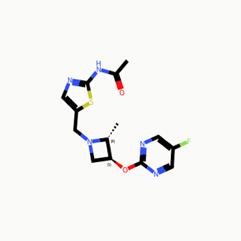 CC(=O)Nc1ncc(CN2C[C@H](Oc3ncc(F)cn3)[C@H]2C)s1